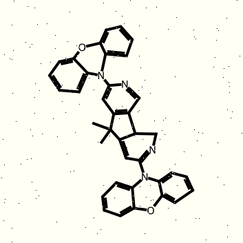 CC1(C)C2=CC(N3c4ccccc4Oc4ccccc43)=NCC2c2cnc(N3c4ccccc4Oc4ccccc43)cc21